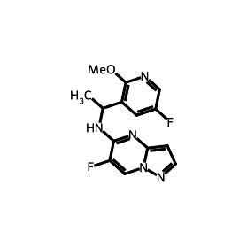 COc1ncc(F)cc1C(C)Nc1nc2ccnn2cc1F